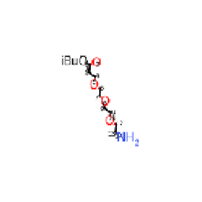 CC(C)COC(=O)CCOCCOCCOCCN